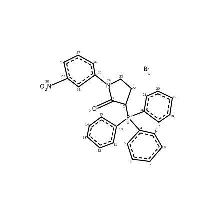 O=C1C([P+](c2ccccc2)(c2ccccc2)c2ccccc2)CCN1c1cccc([N+](=O)[O-])c1.[Br-]